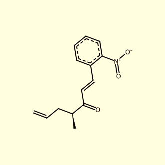 C=CC[C@H](C)C(=O)/C=C/c1ccccc1[N+](=O)[O-]